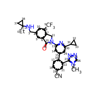 CCC1(NCc2cc3c(c(C(F)(F)F)c2)CN(c2cc(-c4ccc(C#N)cc4-c4nncn4C)cc(C4CC4)n2)C3=O)CC1